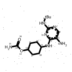 CC(C)(C)Nc1ncc(N)c(NC2CCC(OC(N)=O)CC2)n1